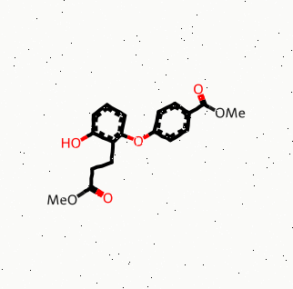 COC(=O)CCc1c(O)cccc1Oc1ccc(C(=O)OC)cc1